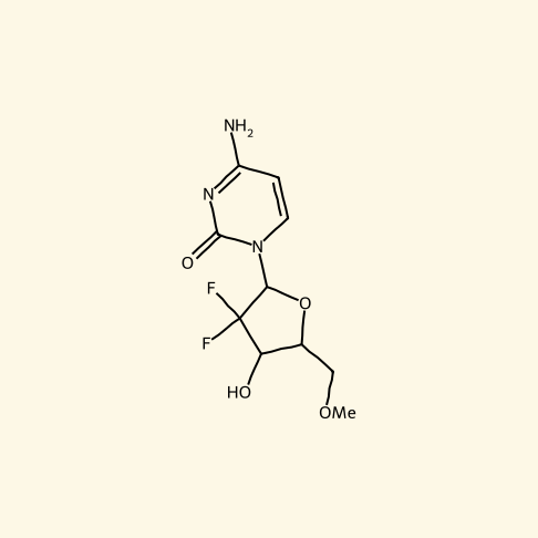 COCC1OC(n2ccc(N)nc2=O)C(F)(F)C1O